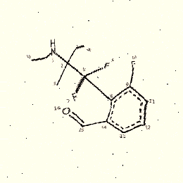 CNC(C)(C)C(F)(F)c1c(F)cccc1C=O